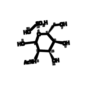 CC(=O)N[C@H]1C(O)O[C@H](CO)[C@@H](O)[C@@H]1O.O=S(=O)(O)O